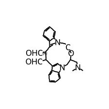 CN(C)CC1Cn2cc(c3ccccc32)C(C=O)[C@@H](C=O)c2cn(c3ccccc23)CCO1